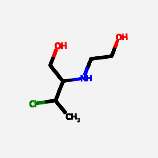 CC(Cl)C(CO)NCCO